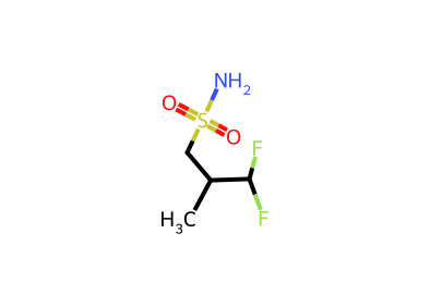 CC(CS(N)(=O)=O)C(F)F